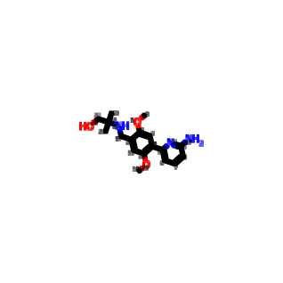 COc1cc(-c2cccc(N)n2)c(OC)cc1CNC(C)(C)CO